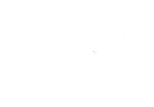 COc1c(/C(C)=C\C(=O)Nc2ccccc2C(=O)O)ccc2ccccc12